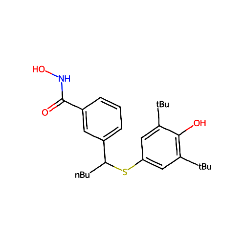 CCCCC(Sc1cc(C(C)(C)C)c(O)c(C(C)(C)C)c1)c1cccc(C(=O)NO)c1